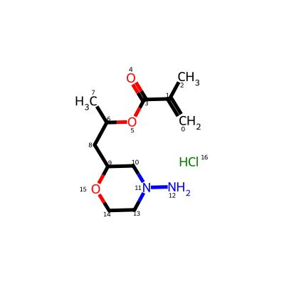 C=C(C)C(=O)OC(C)CC1CN(N)CCO1.Cl